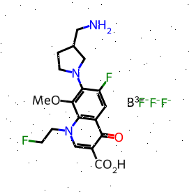 COc1c(N2CCC(CN)C2)c(F)cc2c(=O)c(C(=O)O)cn(CCF)c12.[B+3].[F-].[F-].[F-]